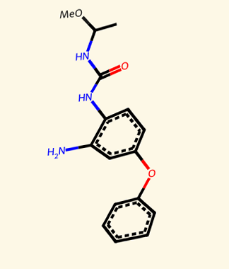 COC(C)NC(=O)Nc1ccc(Oc2ccccc2)cc1N